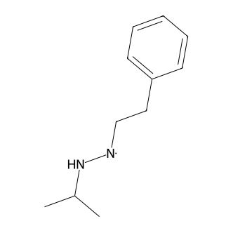 CC(C)N[N]CCc1ccccc1